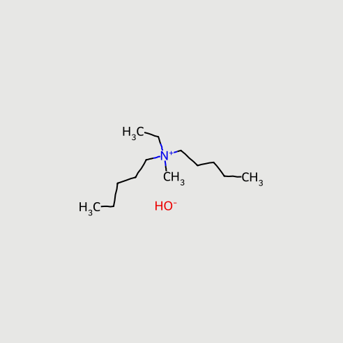 CCCCC[N+](C)(CC)CCCCC.[OH-]